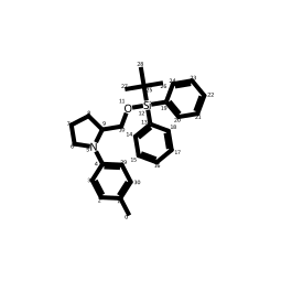 Cc1ccc(N2CCCC2CO[Si](c2ccccc2)(c2ccccc2)C(C)(C)C)cc1